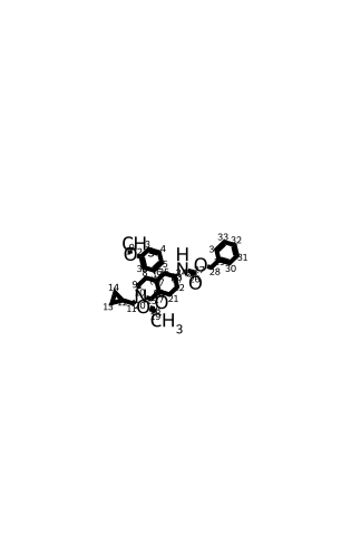 COc1cccc([C@@]23CCN(CC4CC4)C[C@@]2(OC(C)=O)CC[C@H](NC(=O)OCc2ccccc2)C3)c1